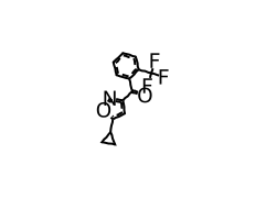 O=C(c1cc(C2CC2)on1)c1ccccc1C(F)(F)F